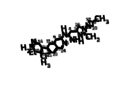 C=C1N/C(=C\C(=N)Nc2cc3cc(C(/C=N\N)=C(\C)CC)c(F)cc3cn2)CN1N1CC(C)C1